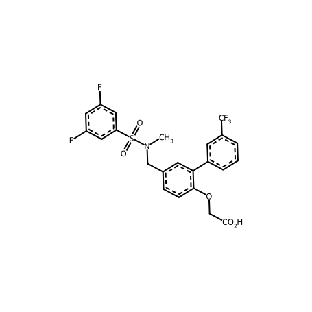 CN(Cc1ccc(OCC(=O)O)c(-c2cccc(C(F)(F)F)c2)c1)S(=O)(=O)c1cc(F)cc(F)c1